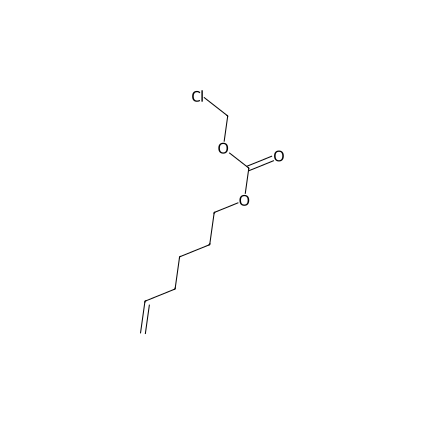 C=CCCCCOC(=O)OCCl